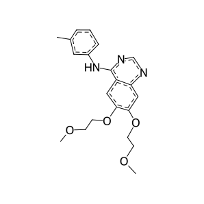 COCCOc1cc2ncnc(Nc3cccc(C)c3)c2cc1OCCOC